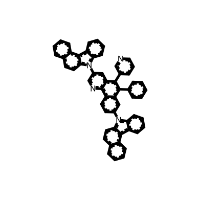 c1ccc(-c2c(-c3cccnc3)c3cc(-n4c5ccccc5c5c6ccccc6ccc54)cnc3c3ccc(-n4c5ccccc5c5c6ccccc6ccc54)cc23)cc1